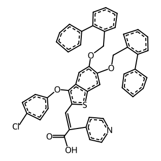 O=C(O)/C(=C/c1sc2cc(OCc3ccccc3-c3ccccc3)c(OCc3ccccc3-c3ccccc3)cc2c1Oc1ccc(Cl)cc1)c1ccncc1